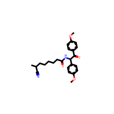 COc1ccc(C(=O)C(NC(=O)CCCCCC(C)C#N)c2ccc(OC)cc2)cc1